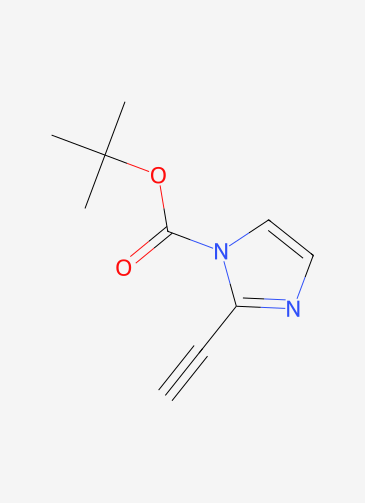 C#Cc1nccn1C(=O)OC(C)(C)C